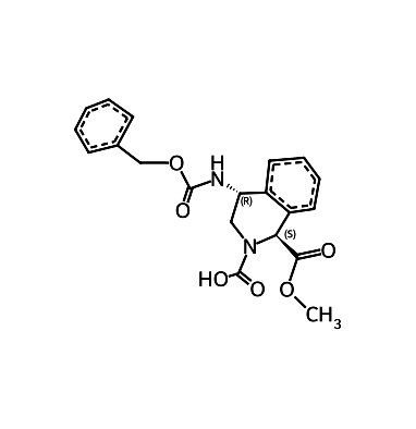 COC(=O)[C@@H]1c2ccccc2[C@@H](NC(=O)OCc2ccccc2)CN1C(=O)O